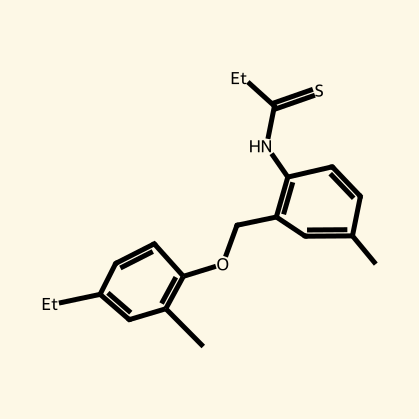 CCC(=S)Nc1ccc(C)cc1COc1ccc(CC)cc1C